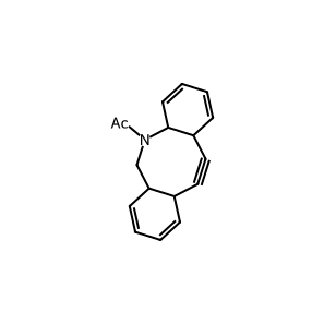 CC(=O)N1CC2C=CC=CC2C#CC2C=CC=CC21